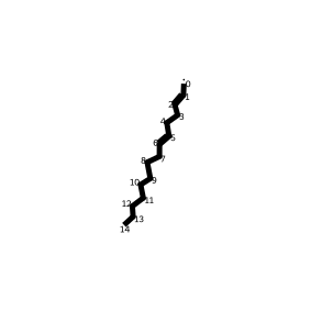 [CH2]C=CCCC=CCCCCCCCC